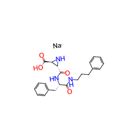 O=C(NCCCc1ccccc1)[C@H](Cc1ccccc1)NC(=O)[C@H]1N[C@@H]1C(=O)O.[Na]